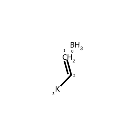 B.C=[CH][K]